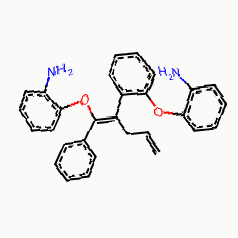 C=CCC(=C(Oc1ccccc1N)c1ccccc1)c1ccccc1Oc1ccccc1N